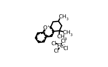 CC1Cc2[o+]c3ccccc3cc2C(C)(C)C1.[Cl][Fe-]([Cl])([Cl])[Cl]